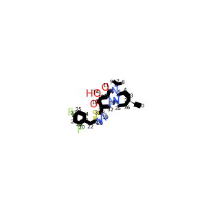 C#C[C@H]1C#CC2N(C(C)C)C(=O)c3c(O)c(=O)c(-c4nnc(Cc5ccc(F)cc5F)s4)cn3N2CC1